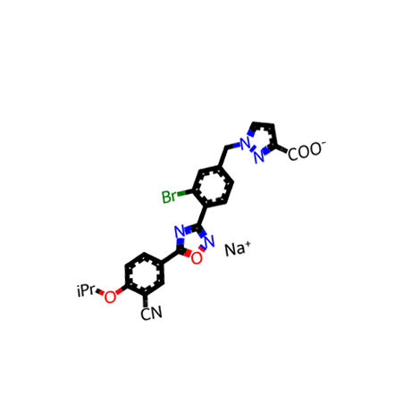 CC(C)Oc1ccc(-c2nc(-c3ccc(Cn4ccc(C(=O)[O-])n4)cc3Br)no2)cc1C#N.[Na+]